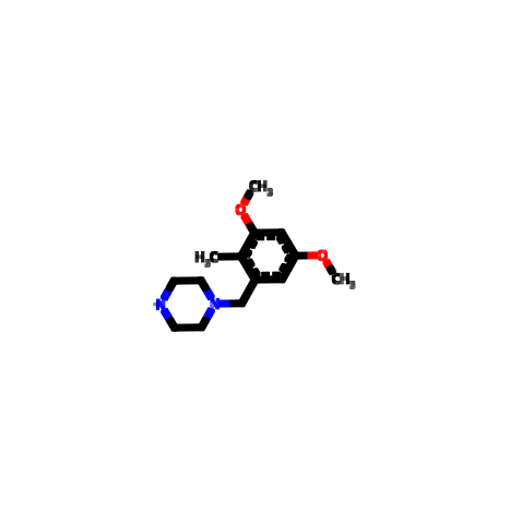 COc1cc(CN2CC[N]CC2)c(C)c(OC)c1